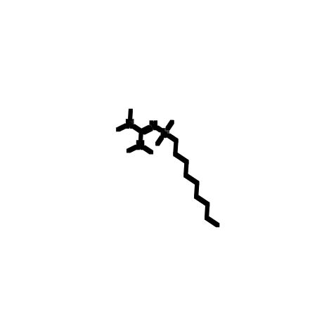 CCCCCCCCC[Si](C)(C)N=C(N(C)C)N(C)C